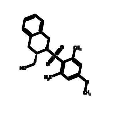 COc1cc(C)c(S(=O)(=O)N2Cc3ccccc3C[C@H]2CO)c(C)c1